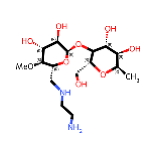 CO[C@H]1[C@H](O)[C@@H](O)[C@@H](OC2[C@@H](CO)O[C@H](C)[C@H](O)[C@H]2O)O[C@@H]1CNCCN